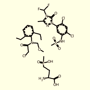 CCc1cccc(CC)c1N(COC)C(=O)CCl.CP(=O)(O)CCC(N)C(=O)O.Cc1nn(-c2cc(NS(C)(=O)=O)c(Cl)cc2Cl)c(=O)n1C(F)F